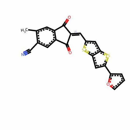 Cc1cc2c(cc1C#N)C(=O)/C(=C\c1cc3sc(-c4ccco4)cc3s1)C2=O